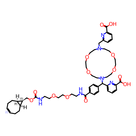 O=C(NCCOCCOCCNC(=O)c1ccc(C(c2cccc(C(=O)O)n2)N2CCOCCOCCN(Cc3cccc(C(=O)O)n3)CCOCCOCC2)cc1)OC[C@@H]1[C@@H]2CC/C=C\CC[C@@H]21